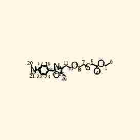 CCOC(=O)CSCCOCCc1nc(-c2ccc(N(C)C)cc2)oc1C